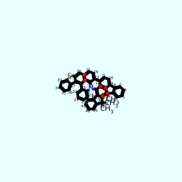 CC1(C)c2ccccc2-c2ccc(-c3ccccc3N(c3ccccc3-c3cccc4sc5ccccc5c34)c3cccc4c3-c3ccccc3C4(C)C)cc21